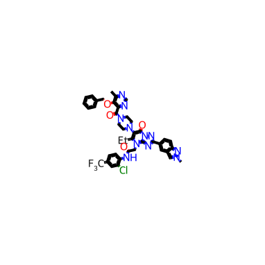 CCc1c(N2CCN(C(=O)c3ncnc(C)c3OCc3ccccc3)CC2)c(=O)n2nc(-c3ccc4nn(C)cc4c3)nc2n1CC(=O)Nc1ccc(C(F)(F)F)cc1Cl